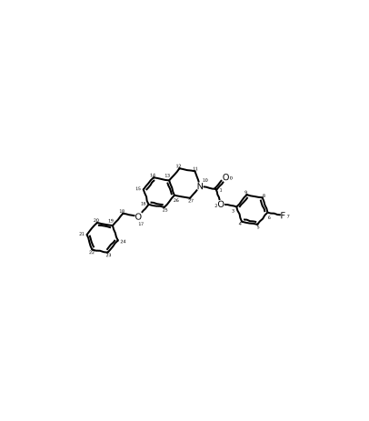 O=C(Oc1ccc(F)cc1)N1CCc2ccc(OCc3ccccc3)cc2C1